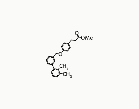 COC(=O)CCc1ccc(OCc2cccc(-c3cccc(C)c3C)c2)cc1